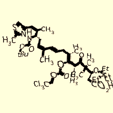 CC[Si](CC)(CC)O[C@@H](CC(=O)O)C(C)(C)C(=O)[C@H](C)[C@@H](OC(=O)OCC(Cl)(Cl)Cl)[C@@H](C)CC=CC(C)=CC[C@H](NC(=O)OC(C)(C)C)C(C)=Cc1csc(C)n1